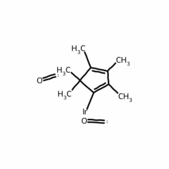 CC1=C(C)C(C)(C)[C]([Ir])=C1C.[C]=O.[C]=O